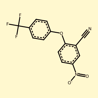 N#Cc1cc([N+](=O)[O-])ccc1Oc1ccc(C(F)(F)F)cc1